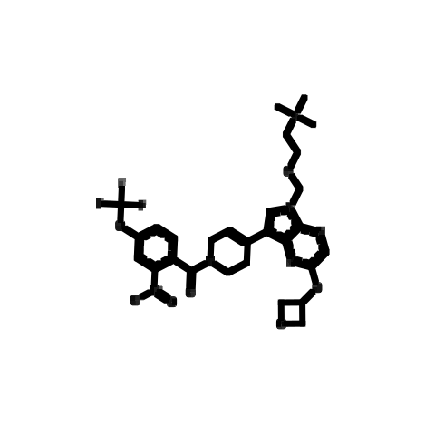 C[Si](C)(C)CCOCn1cc(C2=CCN(C(=O)c3ccc(OC(F)(F)F)cc3[N+](=O)[O-])CC2)c2nc(OC3COC3)cnc21